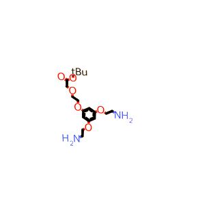 CC(C)(C)OC(=O)COCCOc1cc(OCCN)cc(OCCN)c1